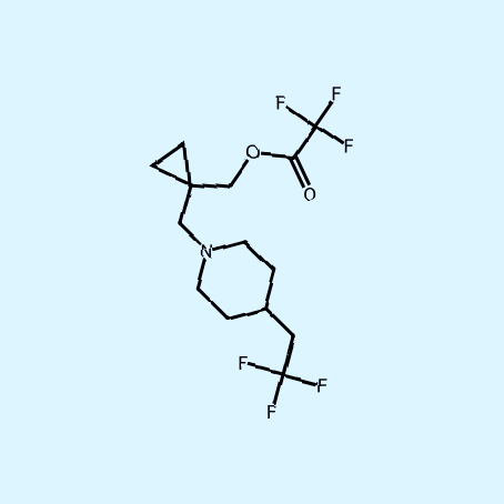 O=C(OCC1(CN2CCC(CC(F)(F)F)CC2)CC1)C(F)(F)F